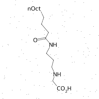 CCCCCCCCCCCC(=O)NCCCNCC(=O)O